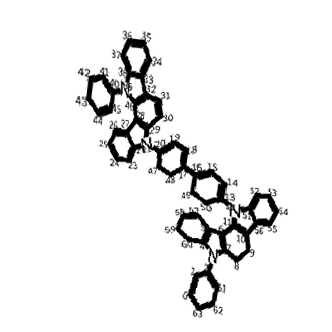 C1=CC(n2c3c(c4c2CCc2c-4n(C4=CC=C(C5=CC=C(n6c7ccccc7c7c6ccc6c8ccccc8n(C8=CCCC=C8)c67)CC5)CC4)c4ccccc24)C=CCC3)=CCC1